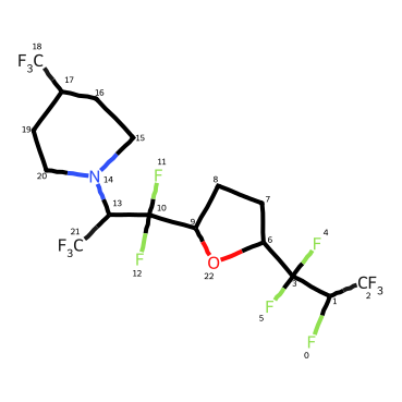 FC(C(F)(F)F)C(F)(F)C1CCC(C(F)(F)C(N2CCC(C(F)(F)F)CC2)C(F)(F)F)O1